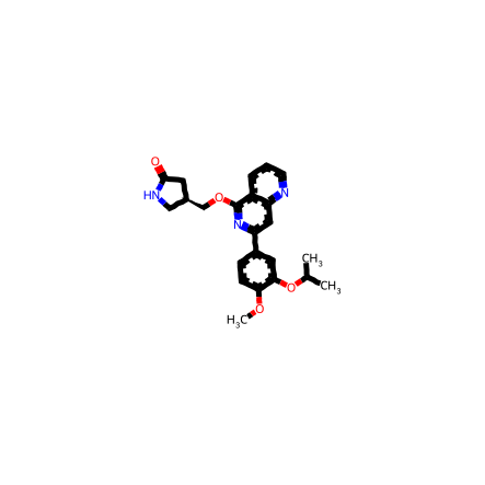 COc1ccc(-c2cc3ncccc3c(OC[C@H]3CNC(=O)C3)n2)cc1OC(C)C